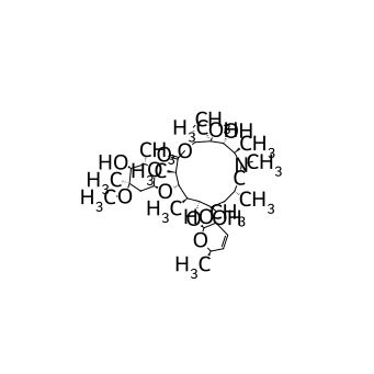 CC[C@H]1OC(=O)[C@H](C)[C@@H](O[C@H]2C[C@@](C)(OC)[C@@H](O)[C@H](C)O2)[C@H](C)[C@@H](O[C@@H]2O[C@H](C)C=C[C@H]2O)C(C)(O)C[C@@H](C)CN(C)[C@H](C)[C@@H](O)[C@]1(C)O